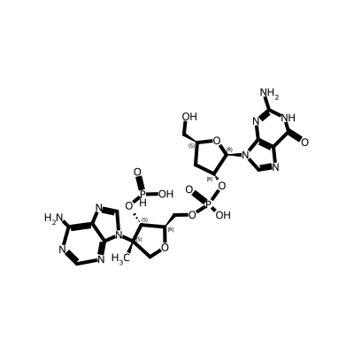 C[C@]1(n2cnc3c(N)ncnc32)CO[C@H](COP(=O)(O)O[C@@H]2C[C@@H](CO)O[C@H]2n2cnc3c(=O)[nH]c(N)nc32)[C@H]1O[PH](=O)O